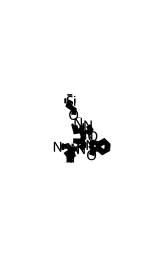 CN1CC(CC#N)(n2cc(-c3ncnc4c3ccn4COCC[Si](C)(C)C)c(N3C(=O)c4ccccc4C3=O)n2)C1